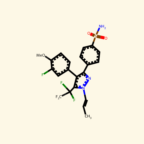 CC=Cn1nc(-c2ccc(S(N)(=O)=O)cc2)c(-c2ccc(OC)c(F)c2)c1C(F)(F)C(F)(F)F